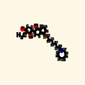 CC1C(=O)CCC(C2CCc3c(SCCCCCCCN4CCCCCCC4)cccc3C2=O)C1=O